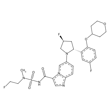 CN(CCF)S(=O)(=O)NC(=O)c1cnc2ccc(N3C[C@@H](F)C[C@@H]3c3cc(F)ccc3OC3CCOCC3)cn12